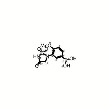 COc1ccc(B(O)O)cc1N1CC(=O)NS1(=O)=O